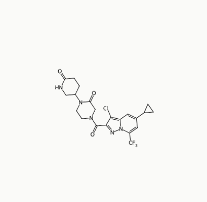 O=C1CCC(N2CCN(C(=O)c3nn4c(C(F)(F)F)cc(C5CC5)cc4c3Cl)CC2=O)CN1